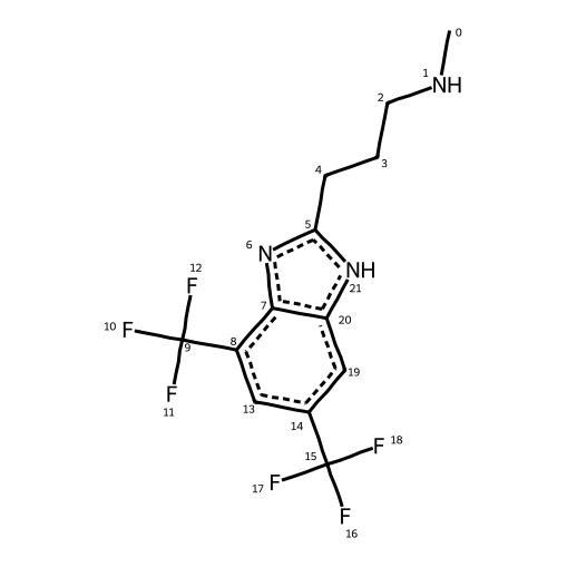 CNCCCc1nc2c(C(F)(F)F)cc(C(F)(F)F)cc2[nH]1